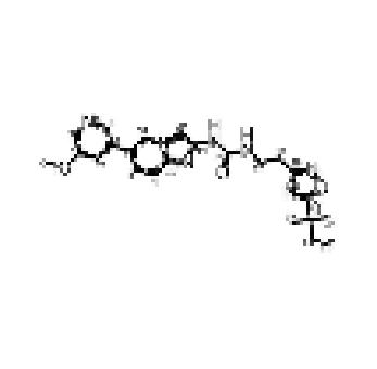 COc1cncc(-c2ccc3nc(NC(=O)NCCc4noc(C(C)(C)CF)n4)cn3c2)c1